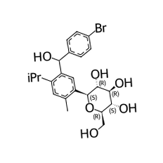 Cc1cc(C(C)C)c(C(O)c2ccc(Br)cc2)cc1[C@@H]1O[C@H](CO)[C@@H](O)[C@H](O)[C@H]1O